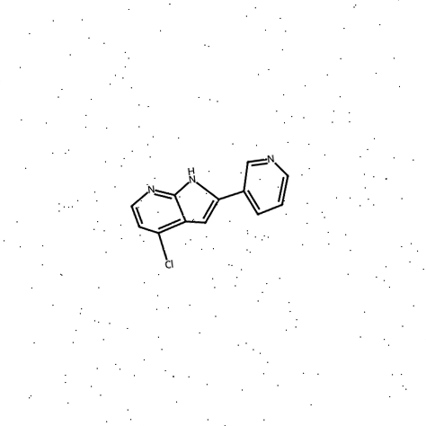 Clc1ccnc2[nH]c(-c3cccnc3)cc12